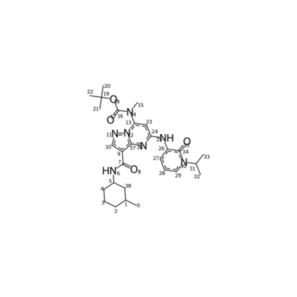 CC1CCCC(NC(=O)c2cnn3c(N(C)C(=O)OC(C)(C)C)cc(Nc4cccn(C(C)C)c4=O)nc23)C1